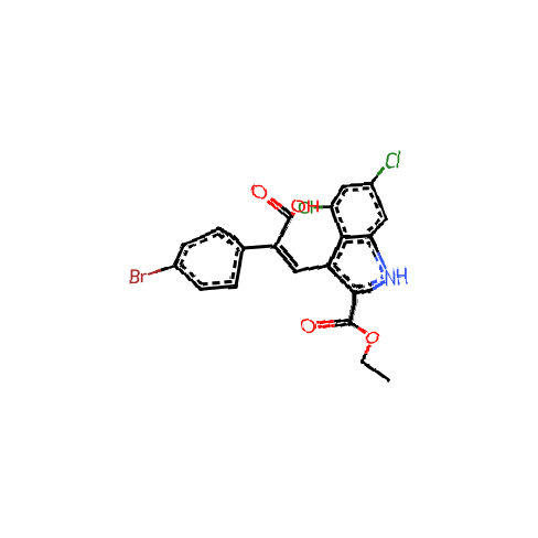 CCOC(=O)c1[nH]c2cc(Cl)cc(Cl)c2c1C=C(C(=O)O)c1ccc(Br)cc1